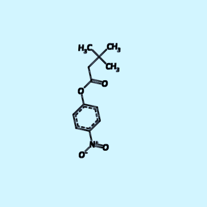 CC(C)(C)CC(=O)Oc1ccc([N+](=O)[O-])cc1